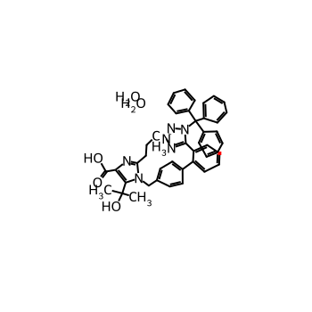 CCCc1nc(C(=O)O)c(C(C)(C)O)n1Cc1ccc(-c2ccccc2-c2nnnn2C(c2ccccc2)(c2ccccc2)c2ccccc2)cc1.O.O